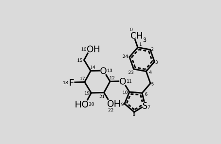 Cc1ccc(Cc2sccc2OC2OC(CO)C(F)C(O)C2O)cc1